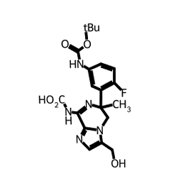 CC(C)(C)OC(=O)Nc1ccc(F)c(C2(C)Cn3c(CO)cnc3C(NC(=O)O)=N2)c1